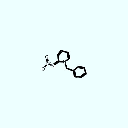 O=[N+]([O-])N=c1ccccn1Cc1ccccc1